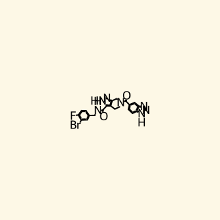 O=C(NCc1ccc(F)c(Br)c1)c1[nH]nc2c1CCN(C(=O)c1ccc3[nH]nnc3c1)C2